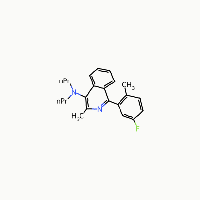 CCCN(CCC)c1c(C)nc(-c2cc(F)ccc2C)c2ccccc12